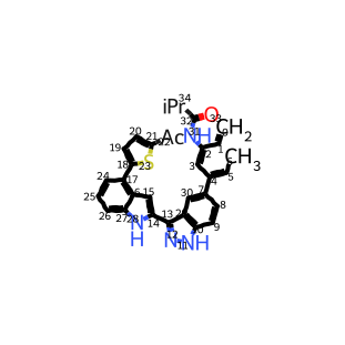 C=C/C(=C\C(=C/C)c1ccc2[nH]nc(-c3cc4c(-c5ccc(C(C)=O)s5)cccc4[nH]3)c2c1)NC(=O)C(C)C